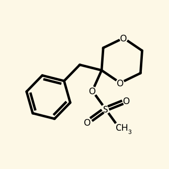 CS(=O)(=O)OC1(Cc2ccccc2)COCCO1